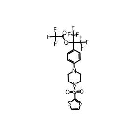 O=C(OC(c1ccc(N2CCN(S(=O)(=O)c3nccs3)CC2)cc1)(C(F)(F)F)C(F)(F)F)C(F)(F)F